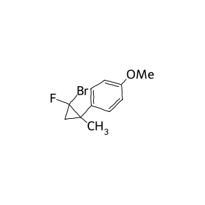 COc1ccc(C2(C)CC2(F)Br)cc1